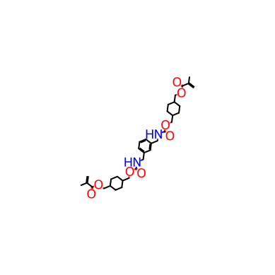 C=C(C)C(=O)OCC1CCC(COC(=O)NCc2cccc(CNC(=O)OCC3CCC(COC(=O)C(=C)C)CC3)c2)CC1